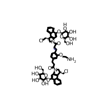 NCCOc1cc(CCC(=O)N2C[C@@H](CCl)c3c2cc(O[C@@H]2O[C@H](CO)[C@H](O)[C@H](O)[C@H]2O)c2ccccc32)ccc1/C=C/C(=O)N1C[C@@H](CCl)c2c1cc(O[C@@H]1O[C@H](CO)[C@H](O)[C@H](O)[C@H]1O)c1ccccc21